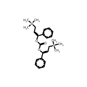 C[Si](C)(C)CC=C(OC(=O)OC(=CC[Si](C)(C)C)c1ccccc1)c1ccccc1